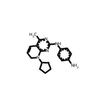 Cc1nc(Nc2ccc(N)cc2)nc2c1C=CCN2C1CCCC1